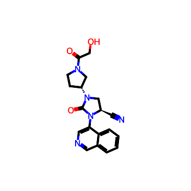 N#C[C@@H]1CN([C@@H]2CCN(C(=O)CO)C2)C(=O)N1c1cncc2ccccc12